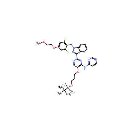 COCCOc1cc(F)c(Cn2nc(-c3ncc(OCCCO[Si](C)(C)C(C)(C)C)c(Nc4ccncn4)n3)c3ccccc32)c(F)c1